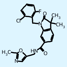 Cc1ncc(CNC(=O)c2ccc3c(c2)N(Cc2c(F)cccc2Cl)C(=O)C3(C)C)o1